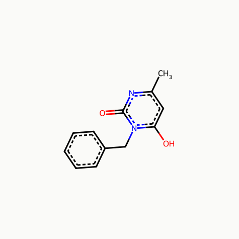 Cc1cc(O)n(Cc2ccccc2)c(=O)n1